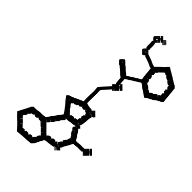 COc1ccccc1C(=O)NCc1cc2c3ccccc3nc(S)n2n1